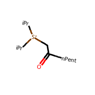 CCCCCC(=O)C[S+](C(C)C)C(C)C